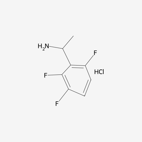 CC(N)c1c(F)ccc(F)c1F.Cl